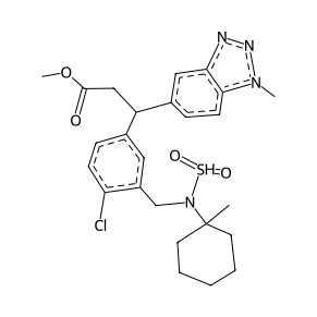 COC(=O)CC(c1ccc(Cl)c(CN([SH](=O)=O)C2(C)CCCCC2)c1)c1ccc2c(c1)nnn2C